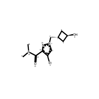 CCc1cn(C[C@H]2C[C@H](O)C2)nc1C(=O)N(C)C